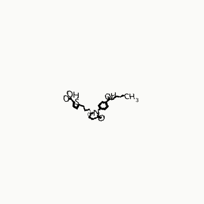 CCCCC[C@H](O)c1ccc(N2C(=O)CC[C@@H]2CCCc2ccc(C(=O)O)s2)cc1